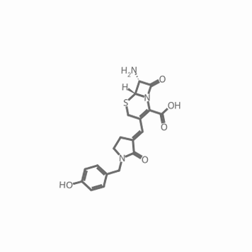 N[C@@H]1C(=O)N2C(C(=O)O)=C(C=C3CCN(Cc4ccc(O)cc4)C3=O)CS[C@H]12